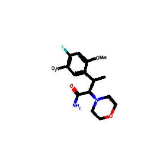 COc1cc(F)c([N+](=O)[O-])cc1C(C)C(C(N)=O)N1CCOCC1